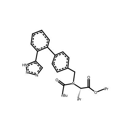 CCCCC(=O)N(Cc1ccc(-c2ccccc2-c2cnn[nH]2)cc1)[C@H](C(=O)OC(C)C)C(C)C